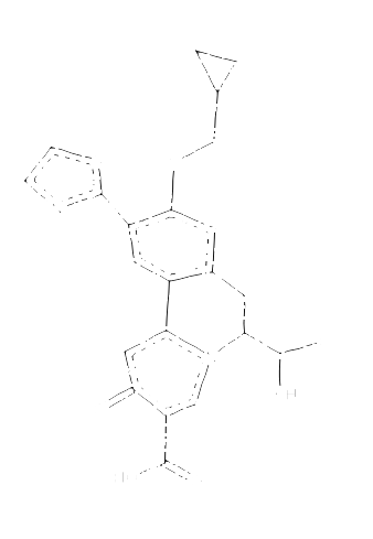 CC(C)C1Cc2cc(OCC3CC3)c(-c3nccs3)cc2-c2cc(=O)c(C(=O)O)cn21